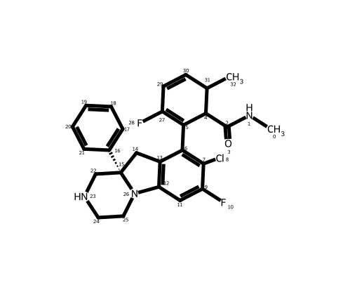 CNC(=O)C1C(c2c(Cl)c(F)cc3c2C[C@]2(c4ccccc4)CNCCN32)=C(F)C=CC1C